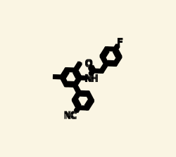 Cc1cc(C)c(NC(=O)Cc2ccc(F)cc2)c(-c2cccc(C#N)c2)c1